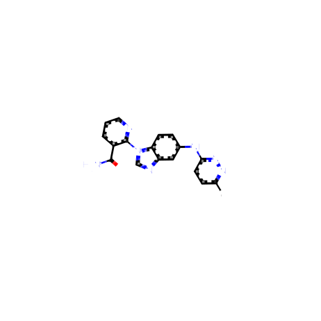 Cc1ccc(Nc2ccc3c(c2)ncn3-c2ncccc2C(N)=O)nn1